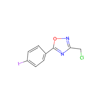 ClCc1noc(-c2ccc(I)cc2)n1